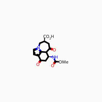 COC(=O)N[C@H]1CC(=O)c2ccn3c2C1C(=O)C[C@H](C(=O)O)C3